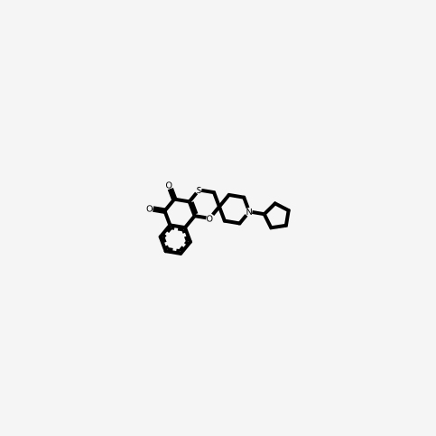 O=C1C(=O)c2ccccc2C2=C1SCC1(CCN(C3CCCC3)CC1)O2